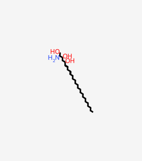 CCCCCCCCCCCCCCCCCC=CCC=CC(O)CC(O)C(N)CO